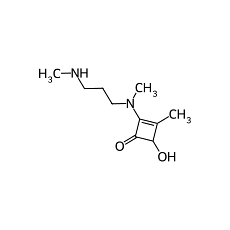 CNCCCN(C)C1=C(C)C(O)C1=O